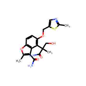 Cc1ncc(COc2ccc3oc(C)c(C(N)=O)c3c2C(C)(CO)C(N)=O)s1